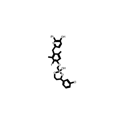 Cc1cc(OC[P]2(O)OCCC(c3cccc(Cl)c3)O2)c(F)c(C)c1Cc1ccc(O)c(C(C)C)n1